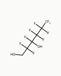 OCC(F)(F)C(O)(F)C(F)(F)C(F)(F)C(F)(F)F